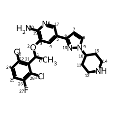 CC(Oc1cc(-c2ccn(C3CCNCC3)n2)cnc1N)c1c(Cl)ccc(F)c1Cl